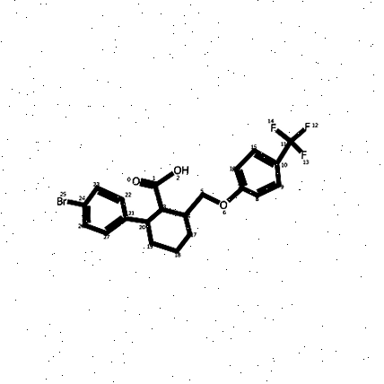 O=C(O)C1C(COc2ccc(C(F)(F)F)cc2)CCCC1c1ccc(Br)cc1